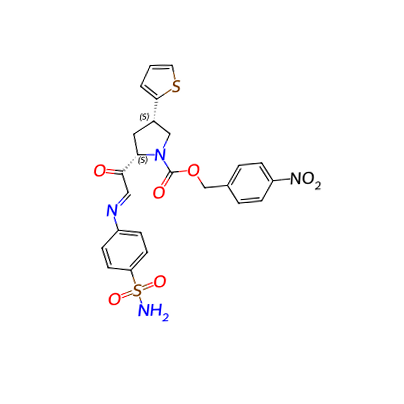 NS(=O)(=O)c1ccc(N=CC(=O)[C@@H]2C[C@H](c3cccs3)CN2C(=O)OCc2ccc([N+](=O)[O-])cc2)cc1